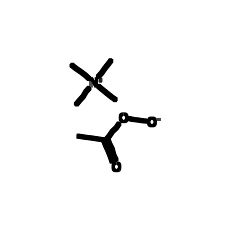 CC(=O)O[O-].C[N+](C)(C)C